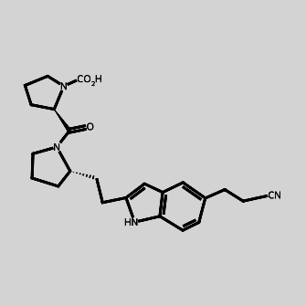 N#CCCc1ccc2[nH]c(CC[C@@H]3CCCN3C(=O)[C@H]3CCCN3C(=O)O)cc2c1